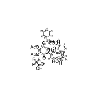 COc1ccc2c3c1O[C@H]1C(OC(=O)C(OC(C)=O)C(OC(C)=O)C(=O)OC(C(=O)O)c4ccccc4)=CC[C@@]4(O)[C@@H](C2)N(C)CC[C@]314.O=C(O)C(F)(F)F